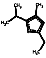 CCc1cc(C)c(C(C)C)s1